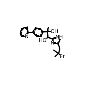 CCC(C)(C)Cc1c[nH]c(C(O)C(C)(O)c2ccc(-c3ccccn3)cc2)n1